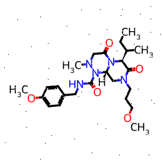 CCC(C)[C@H]1C(=O)N(CCCOC)C[C@H]2N1C(=O)CN(C)N2C(=O)NCc1ccc(OC)cc1